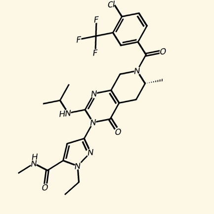 CCn1nc(-n2c(NC(C)C)nc3c(c2=O)C[C@@H](C)N(C(=O)c2ccc(Cl)c(C(F)(F)F)c2)C3)cc1C(=O)NC